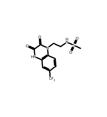 CS(=O)(=O)NCCn1c(=O)c(=O)[nH]c2cc(C(F)(F)F)ccc21